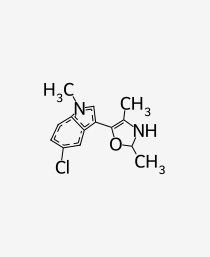 CC1=C(c2cn(C)c3ccc(Cl)cc23)OC(C)N1